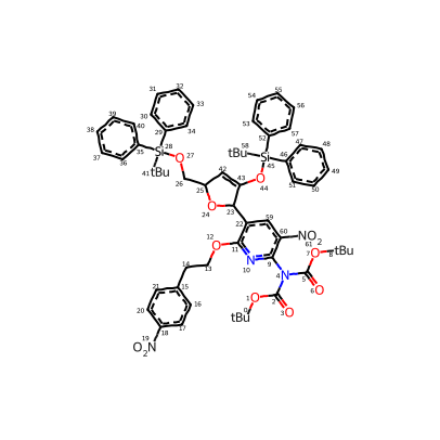 CC(C)(C)OC(=O)N(C(=O)OC(C)(C)C)c1nc(OCCc2ccc([N+](=O)[O-])cc2)c(C2OC(CO[Si](c3ccccc3)(c3ccccc3)C(C)(C)C)C=C2O[Si](c2ccccc2)(c2ccccc2)C(C)(C)C)cc1[N+](=O)[O-]